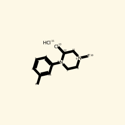 Cc1cccc(N2CCN(F)CC2Cl)c1.Cl